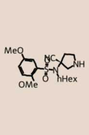 CCCCCCN([C@]1(C#N)CCNC1)S(=O)(=O)c1cc(OC)ccc1OC